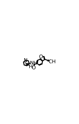 C#Cc1coc2cc(C(=O)N[C@H]3CN4CCC3CC4)ccc12